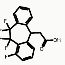 O=C(O)CC1c2ccccc2C(F)(F)C(F)(F)c2c(F)cccc21